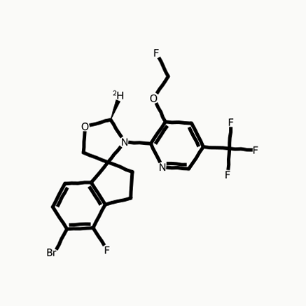 [2H][C@@H]1OCC2(CCc3c2ccc(Br)c3F)N1c1ncc(C(F)(F)F)cc1OCF